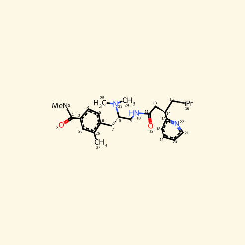 CNC(=O)c1ccc(C[C@@H](CNC(=O)C[C@@H](CC(C)C)c2ccccn2)N(C)C)c(C)c1